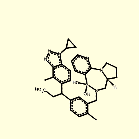 Cc1ccc(C(CC(=O)O)c2ccc3c(nnn3C3CC3)c2C)cc1CN1C[C@H]2CCCN2c2ncccc2S1(O)O